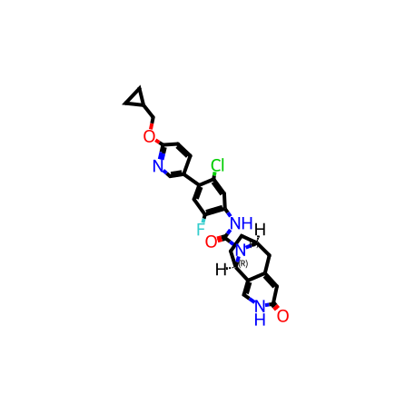 O=C(Nc1cc(Cl)c(-c2ccc(OCC3CC3)nc2)cc1F)N1[C@H]2CC[C@@H]1c1c[nH]c(=O)cc1C2